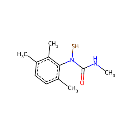 CNC(=O)N(S)c1c(C)ccc(C)c1C